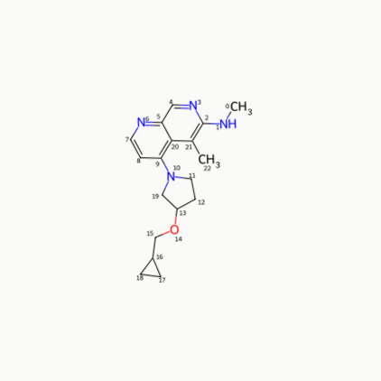 CNc1ncc2nccc(N3CCC(OCC4CC4)C3)c2c1C